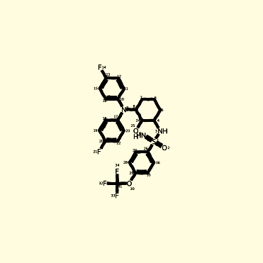 N=S(=O)(NC1CCCC(N(c2ccc(F)cc2)c2ccc(F)cc2)C1O)c1ccc(OC(F)(F)F)cc1